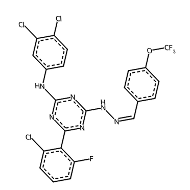 Fc1cccc(Cl)c1-c1nc(N/N=C\c2ccc(OC(F)(F)F)cc2)nc(Nc2ccc(Cl)c(Cl)c2)n1